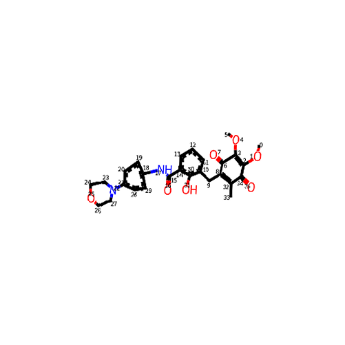 COC1=C(OC)C(=O)C(Cc2cccc(C(=O)Nc3ccc(N4CCOCC4)cc3)c2O)=C(C)C1=O